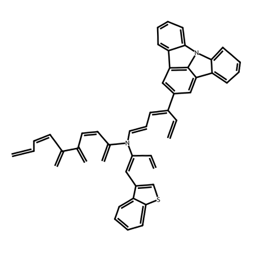 C=C/C=C\C(=C)C(=C)/C=C\C(=C)N(/C=C/C=C(\C=C)c1cc2c3ccccc3n3c4ccccc4c(c1)c23)/C(C=C)=C/c1csc2ccccc12